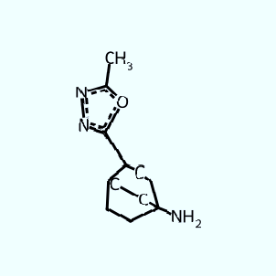 Cc1nnc(C2CCC3(N)CCC2CC3)o1